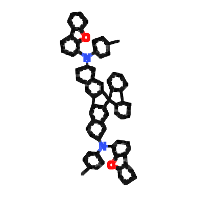 Cc1ccc(N(c2ccc3cc4c(cc3c2)C2(c3ccccc3-c3ccccc32)c2cc3cc(N(c5ccc(C)cc5)c5cccc6c5oc5ccccc56)ccc3cc2-4)c2cccc3c2oc2ccccc23)cc1